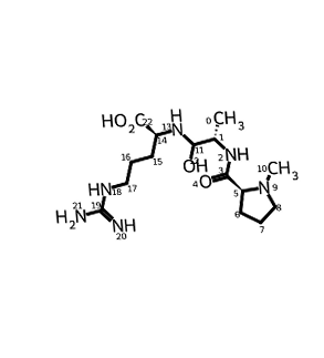 C[C@H](NC(=O)[C@@H]1CCCN1C)C(O)N[C@@H](CCCNC(=N)N)C(=O)O